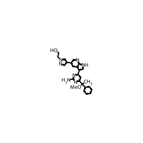 COC(C)(c1ccccc1)c1cc(-c2c[nH]c3ncc(-c4cnn(CCO)c4)cc23)nc(N)n1